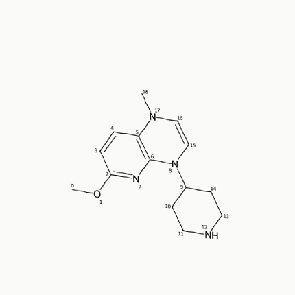 COc1ccc2c(n1)N(C1CCNCC1)C=CN2C